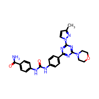 Cc1ccn(-c2nc(-c3ccc(NC(=O)Nc4ccc(C(N)=O)cc4)cc3)nc(N3CCOCC3)n2)n1